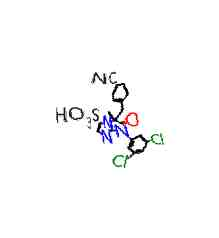 CC1(Cc2ccc(C#N)cc2)C(=O)N(c2cc(Cl)cc(Cl)c2)c2ncc(S(=O)(=O)O)n21